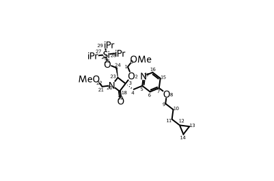 COCO[C@@]1(Cc2cc(OCCCC3CC3)ccn2)C(=O)N(COC)[C@H]1CO[Si](C(C)C)(C(C)C)C(C)C